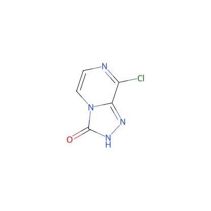 O=c1[nH]nc2c(Cl)nccn12